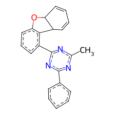 Cc1nc(-c2ccccc2)nc(-c2cccc3c2C2C=CC=CC2O3)n1